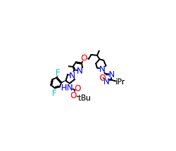 Cc1cc(OCCC(C)C2CCN(c3nc(C(C)C)no3)CC2)cnc1N1C[C@H](NC(=O)OC(C)(C)C)[C@@H](c2cc(F)ccc2F)C1